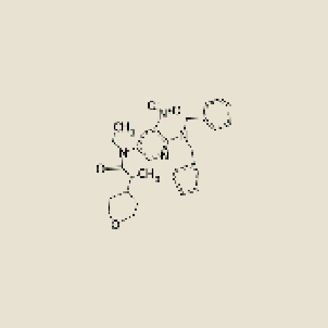 CCN(C(=O)C(C)C1CCOCC1)c1cnc(N(Cc2ccccc2)Cc2ccccc2)c([N+](=O)[O-])c1